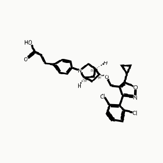 O=C(O)CCc1ccc(N2C[C@@H]3C[C@H]2C[C@H]3OCc2c(-c3c(Cl)c#ccc3Cl)noc2C2CC2)cc1